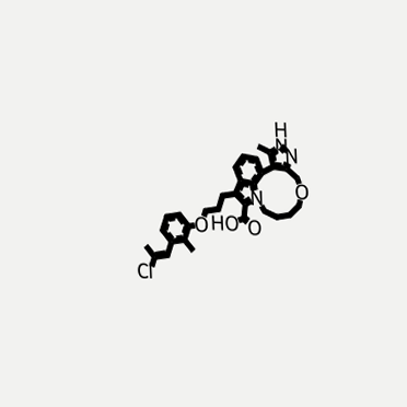 C/C(Cl)=C\c1cccc(OCCCc2c(C(=O)O)n3c4c(cccc24)-c2c(n[nH]c2C)COCCCC3)c1C